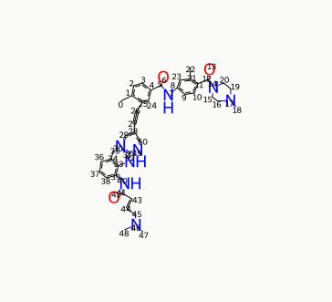 Cc1ccc(C(=O)Nc2ccc(C(=O)N3CCN(C)CC3)c(C)c2)cc1C#Cc1cnc(Nc2c(C)cccc2NC(=O)C=CCN(C)C)nc1